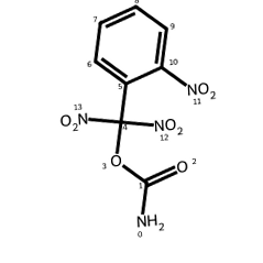 NC(=O)OC(c1ccccc1[N+](=O)[O-])([N+](=O)[O-])[N+](=O)[O-]